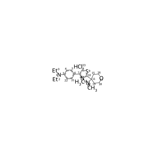 CCN(CC)c1ccc(-c2csc(C3(N(C)C)CCOCC3)n2)cc1.Cl